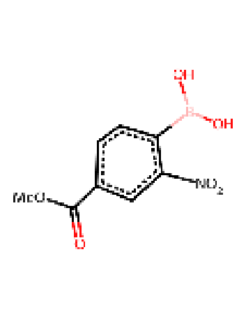 COC(=O)c1ccc(B(O)O)c([N+](=O)[O-])c1